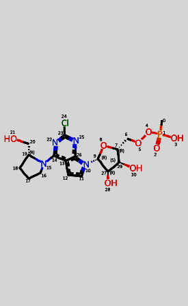 CP(=O)(O)OOC[C@H]1O[C@@H](n2ccc3c(N4CCC[C@@H]4CO)nc(Cl)nc32)[C@H](O)[C@@H]1O